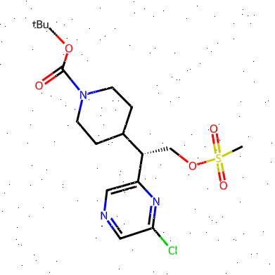 CC(C)(C)OC(=O)N1CCC([C@H](COS(C)(=O)=O)c2cncc(Cl)n2)CC1